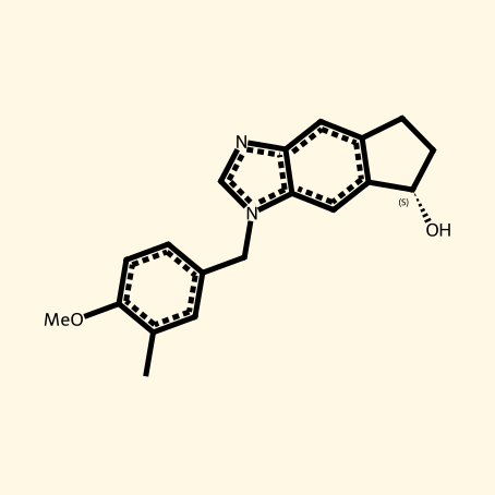 COc1ccc(Cn2cnc3cc4c(cc32)[C@@H](O)CC4)cc1C